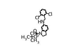 CC(C)(C)OC(=O)N1CCc2ccc(NCc3c(Cl)cccc3Cl)cc21